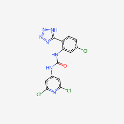 O=C(Nc1cc(Cl)nc(Cl)c1)Nc1cc(Cl)ccc1-c1nnn[nH]1